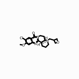 COc1cc2nc3n(c(=O)c2cc1Cl)CC[C@H]1[C@H]3CCCN1CC1COC1